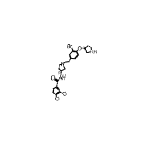 O=C(N[C@H]1CCN(CCc2ccc(O[C@H]3CCNC3)c(Br)c2)C1)c1ccc(Cl)c(Cl)c1